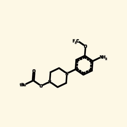 CC(C)(C)C(=O)ON1CCN(c2ccc(N)c(OC(F)(F)F)c2)CC1